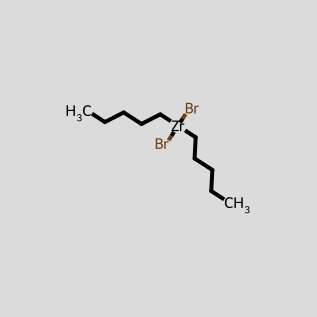 CCCC[CH2][Zr]([Br])([Br])[CH2]CCCC